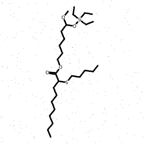 CCCCCCCCC(SCCCCC)C(=O)OCCCCCC(OC)O[Si](CC)(CC)CC